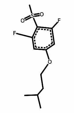 CC(C)CCOc1cc(F)c(S(C)(=O)=O)c(F)c1